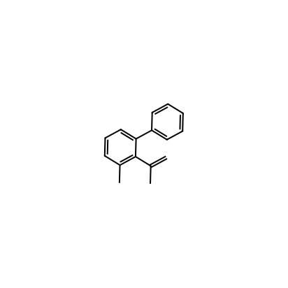 C=C(C)c1c(C)cccc1-c1ccccc1